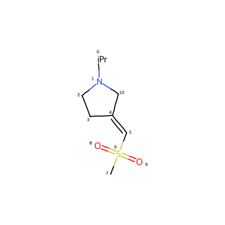 CC(C)N1CCC(=CS(C)(=O)=O)C1